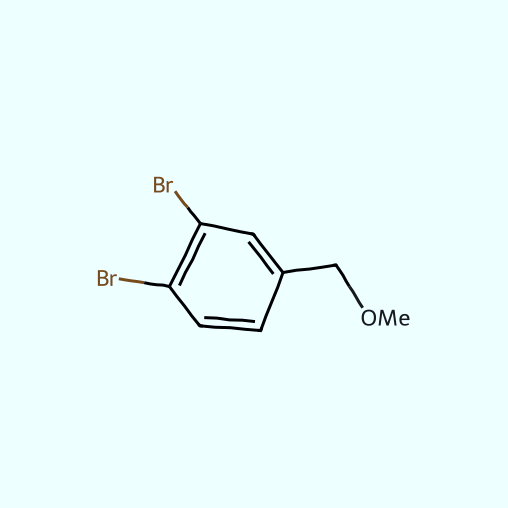 COCc1ccc(Br)c(Br)c1